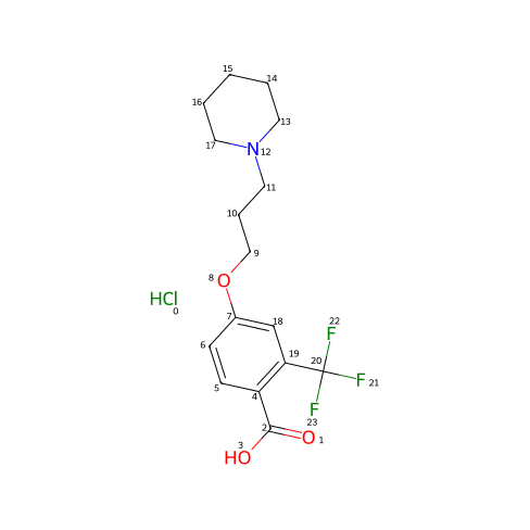 Cl.O=C(O)c1ccc(OCCCN2CCCCC2)cc1C(F)(F)F